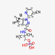 CC(C)(COP(=O)(O)O)NC(=O)c1nn(-c2cc(C#N)ccn2)c2c1C[C@H]1C[C@@H]21